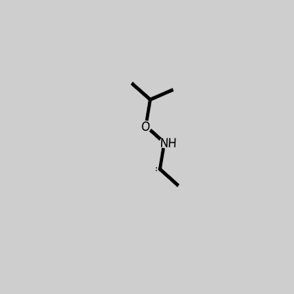 C[C]NOC(C)C